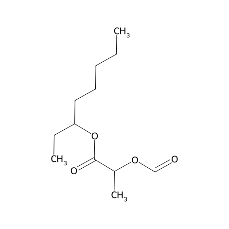 CCCCCC(CC)OC(=O)C(C)OC=O